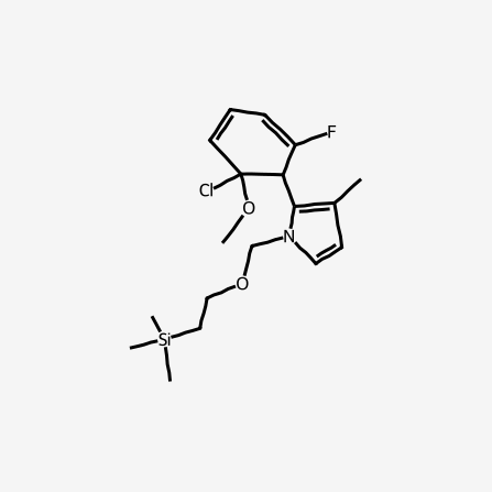 COC1(Cl)C=CC=C(F)C1c1c(C)ccn1COCC[Si](C)(C)C